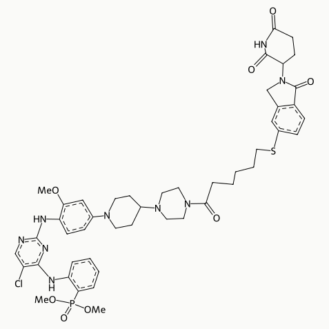 COc1cc(N2CCC(N3CCN(C(=O)CCCCCSc4ccc5c(c4)CN(C4CCC(=O)NC4=O)C5=O)CC3)CC2)ccc1Nc1ncc(Cl)c(Nc2ccccc2P(=O)(OC)OC)n1